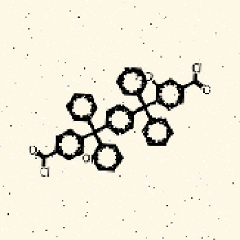 O=C(Cl)c1ccc(C(c2ccccc2)(c2ccccc2)c2ccc(C(c3ccccc3)(c3ccccc3)c3ccc(C(=O)Cl)cc3O)cc2)c(O)c1